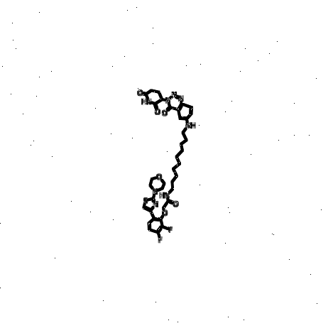 O=C(COc1c(-c2csc(N3CCOCC3)n2)ccc(F)c1F)NCCCCCCCCCCNc1ccc2nnn(C3CCC(=O)NC3=O)c(=O)c2c1